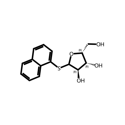 OC[C@H]1OC(Sc2cccc3ccccc23)[C@H](O)[C@H]1O